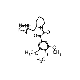 COc1cc(C(=O)C(=O)N2CCCCC2Cc2nnn[nH]2)cc(OC)c1OC